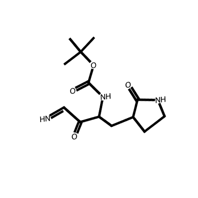 CC(C)(C)OC(=O)NC(CC1CCNC1=O)C(=O)C=N